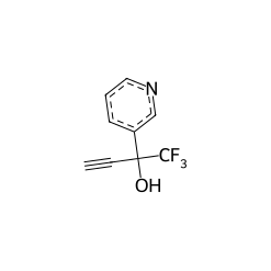 C#CC(O)(c1cccnc1)C(F)(F)F